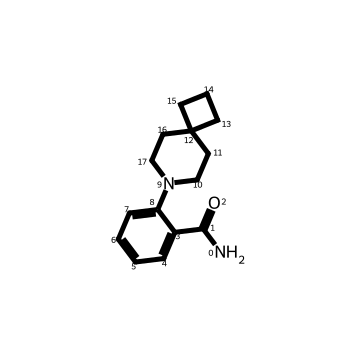 NC(=O)c1ccccc1N1CCC2(CCC2)CC1